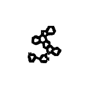 c1cncc(-c2ccnc(-n3c4ccccc4c4cc5c(cc43)c3ccccc3c3nc4ccccc4n53)c2)c1